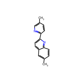 Cc1ccc(-c2ccc3cc(C)ccc3n2)nc1